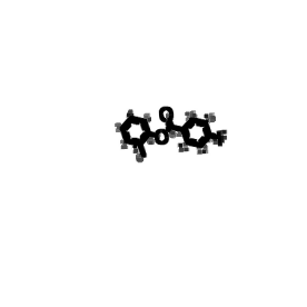 Cc1ccccc1OC(=O)c1ccc(F)cc1